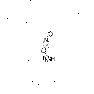 CC1CN(Cc2ccccc2)CCC1(C)c1cccc(-c2c[nH]nn2)c1